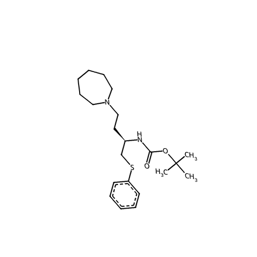 CC(C)(C)OC(=O)N[C@H](CCN1CCCCCC1)CSc1ccccc1